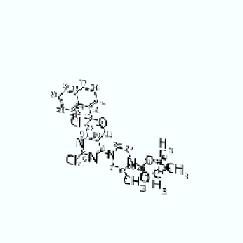 C[C@@H]1CN(c2nc(Cl)nc3c2COC(c2cccc4cccc(Cl)c24)C3)CCN1C(=O)OC(C)(C)C